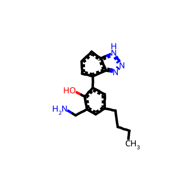 CCCCc1cc(CN)c(O)c(-c2cccc3[nH]nnc23)c1